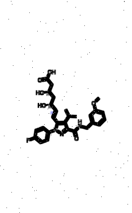 COc1cccc(CNC(=O)c2nn(-c3ccc(F)cc3)c(/C=C/[C@H](O)C[C@@H](O)CC(=O)O)c2C(C)C)c1